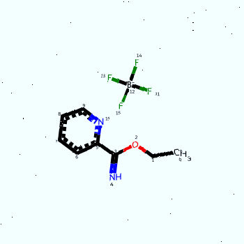 CCOC(=N)c1ccccn1.F[B-](F)(F)F